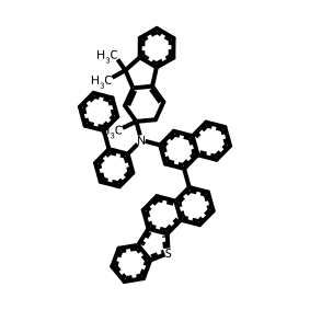 CC1(C)C2=CC(C)(N(c3cc(-c4cccc5c4ccc4c6ccccc6sc54)c4ccccc4c3)c3ccccc3-c3ccccc3)CC=C2c2ccccc21